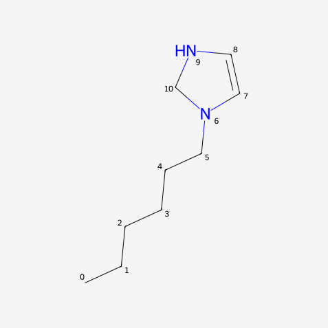 CCCCCCN1C=CNC1